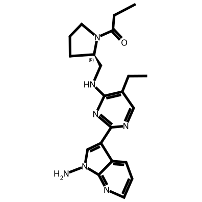 CCC(=O)N1CCC[C@@H]1CNc1nc(-c2cn(N)c3ncccc23)ncc1CC